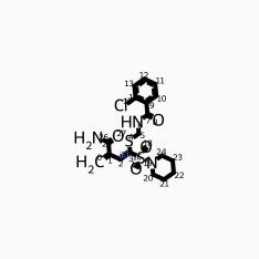 C=C(/C=C(\SCNC(=O)c1ccccc1Cl)S(=O)(=O)N1CCCCC1)C(N)=O